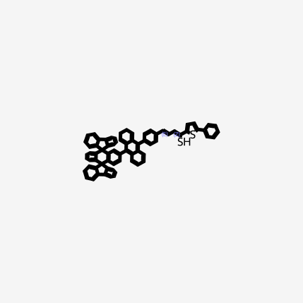 S/C(=C\C=C\c1ccc(-c2c3c(c(-c4ccc5c(c4)C4(c6ccccc6-c6ccccc64)c4ccccc4C54c5ccccc5-c5ccccc54)c4ccccc24)=CCCC=3)cc1)c1ccc(-c2ccccc2)s1